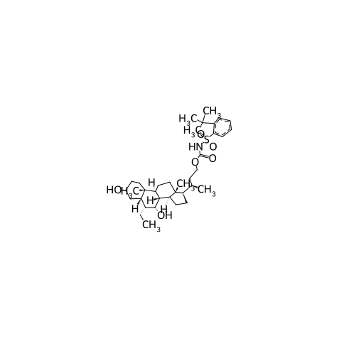 CC[C@H]1[C@@H](O)[C@@H]2[C@H](CC[C@]3(C)[C@@H]([C@H](C)CCOC(=O)NS(=O)(=O)c4ccccc4C(C)(C)C)CC[C@@H]23)[C@@]2(C)CC[C@@H](O)C[C@@H]12